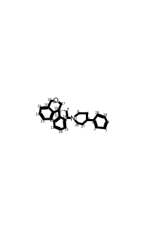 c1ccc(C2CCN(CC[C@@]3(c4ccccc4)COCc4ccccc43)CC2)cc1